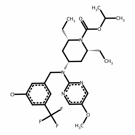 CC[C@@H]1C[C@H](N(Cc2cc(Cl)cc(C(F)(F)F)c2)c2ncc(OC)cn2)C[C@H](CC)N1C(=O)OC(C)C